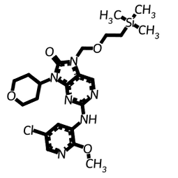 COc1ncc(Cl)cc1Nc1ncc2c(n1)n(C1CCOCC1)c(=O)n2COCC[Si](C)(C)C